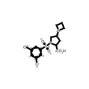 O=C(O)C1CC(N2CCC2)CN1S(=O)(=O)c1cc(Cl)cc(Cl)c1